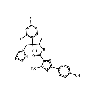 CC(NC(=O)c1sc(-c2ccc(C#N)cc2)nc1C(F)(F)F)C(O)(Cn1cncn1)c1ccc(F)cc1F